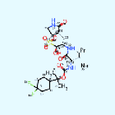 CC(C)C[C@H](NC(=O)OC(C)(C)C1CCC(F)(F)CC1)C(=O)N[C@@H](C[C@@H]1CCNC1=O)C(O)S(=O)(=O)[O-].[Na+]